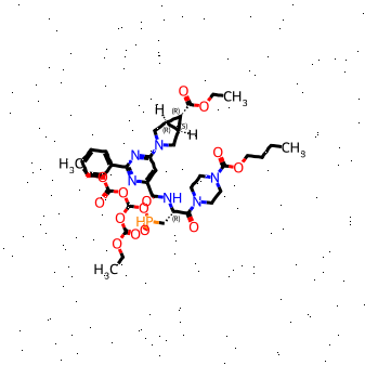 CCCCOC(=O)N1CCN(C(=O)[C@H](C[PH](=O)OC(OC(=O)OCC)OC(=O)OCC)NC(=O)c2cc(N3C[C@@H]4[C@H](C3)[C@H]4C(=O)OCC)nc(-c3ccccc3)n2)CC1